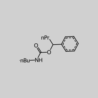 CCC[CH]NC(=O)OC(CCC)c1ccccc1